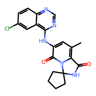 Cc1cc(Nc2ncnc3ccc(Cl)cc23)c(=O)n2c1C(=O)NC21CCCC1